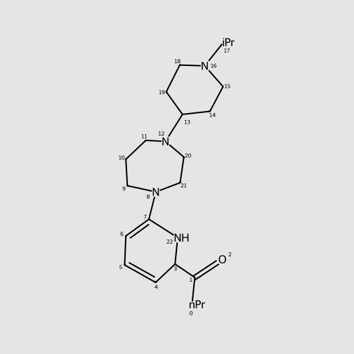 CCCC(=O)C1C=CC=C(N2CCCN(C3CCN(C(C)C)CC3)CC2)N1